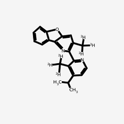 [2H]C([2H])([2H])c1cc2oc3ccccc3c2nc1-c1nccc(C(C)C)c1C([2H])([2H])[2H]